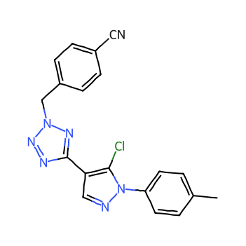 Cc1ccc(-n2ncc(-c3nnn(Cc4ccc(C#N)cc4)n3)c2Cl)cc1